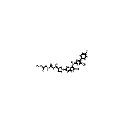 CCc1nc2sc(N3CCC(N(C)CC(=O)NCC(=O)OC)C3)nn2c1N(C)c1nc(-c2ccc(C)cc2)c(C#N)s1